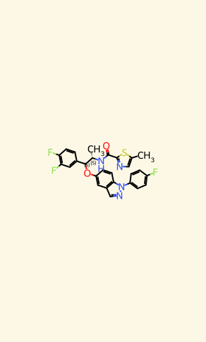 Cc1cnc(C(=O)N[C@@H](C)[C@@H](Oc2ccc3c(cnn3-c3ccc(F)cc3)c2)c2ccc(F)c(F)c2)s1